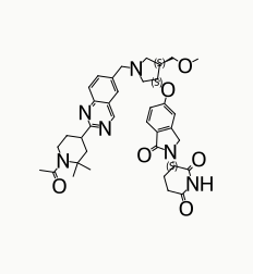 COC[C@@H]1CN(Cc2ccc3nc(C4CCN(C(C)=O)C(C)(C)C4)ncc3c2)C[C@H]1Oc1ccc2c(c1)CN([C@H]1CCC(=O)NC1=O)C2=O